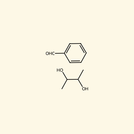 CC(O)C(C)O.O=Cc1ccccc1